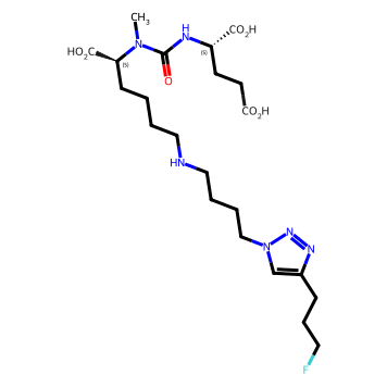 CN(C(=O)N[C@@H](CCC(=O)O)C(=O)O)[C@@H](CCCCNCCCCn1cc(CCCF)nn1)C(=O)O